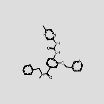 Cc1cnc(NC(=O)Nc2ccc(C(=O)N(C)Cc3ccccc3)cc2OCc2cccnc2)cn1